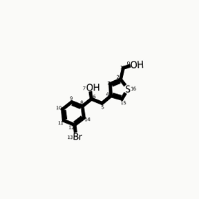 OCc1cc(CC(O)c2cccc(Br)c2)cs1